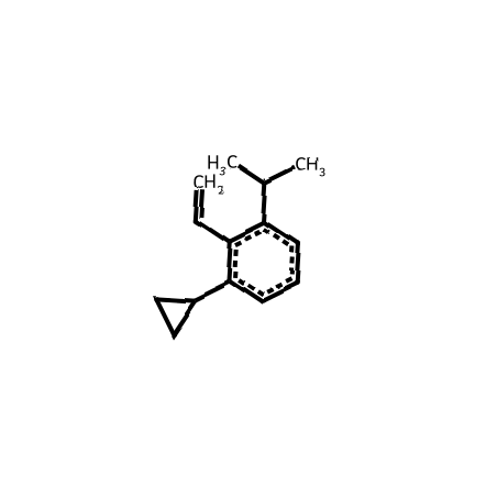 C=Cc1c([C](C)C)cccc1C1CC1